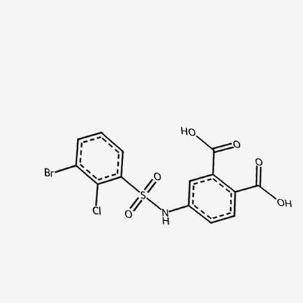 O=C(O)c1ccc(NS(=O)(=O)c2cccc(Br)c2Cl)cc1C(=O)O